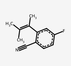 CC(C)=C(C)c1cc(F)ccc1C#N